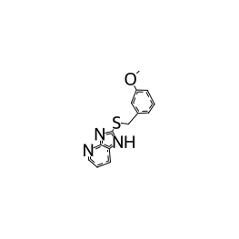 COc1cccc(CSc2nc3ncccc3[nH]2)c1